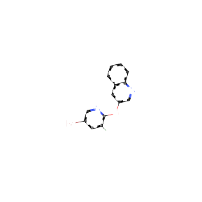 Clc1cc(Br)cnc1Oc1cnc2ccccc2c1